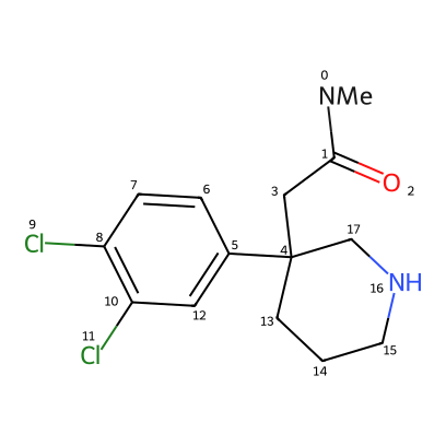 CNC(=O)CC1(c2ccc(Cl)c(Cl)c2)CCCNC1